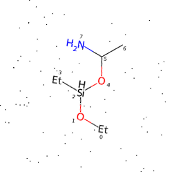 CCO[SiH](CC)OC(C)N